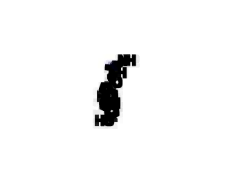 C/C(=C/C=N)NCC(=O)[C@H]1CC[C@H]2[C@@H]3CC=C4C[C@](C)(O)CC[C@@H]4[C@H]3CC[C@]12C